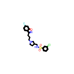 O=S(=O)(NCC1CCN(CCCc2noc3cc(F)ccc23)C1)c1cccc(Cl)c1